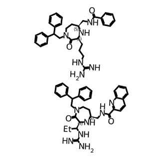 CCC(NC(=N)N)[C@@H]1N[C@H](CNC(=O)c2ccc3ccccc3n2)CCN(CC(c2ccccc2)c2ccccc2)C1=O.N=C(N)NCCC[C@@H]1N[C@H](CNC(=O)c2ccccc2)CCN(CC(c2ccccc2)c2ccccc2)C1=O